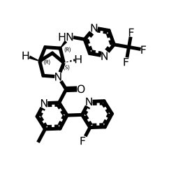 Cc1cnc(C(=O)N2C[C@@H]3C[C@@H](Nc4cnc(C(F)(F)F)cn4)[C@@H]2C3)c(-c2ncccc2F)c1